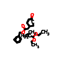 C=C.CCOC(C)OCC.O=C1CCC(CC(=O)OCc2ccccc2)CC1